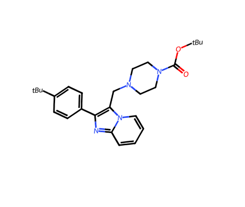 CC(C)(C)OC(=O)N1CCN(Cc2c(-c3ccc(C(C)(C)C)cc3)nc3ccccn23)CC1